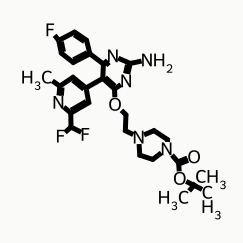 Cc1cc(-c2c(OCCN3CCN(C(=O)OC(C)(C)C)CC3)nc(N)nc2-c2ccc(F)cc2)cc(C(F)F)n1